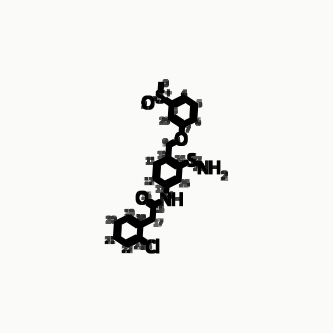 C[S+]([O-])c1cccc(OCc2ccc(NC(=O)Cc3ccccc3Cl)cc2SN)c1